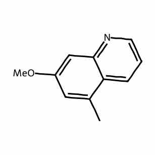 COc1cc(C)c2cccnc2c1